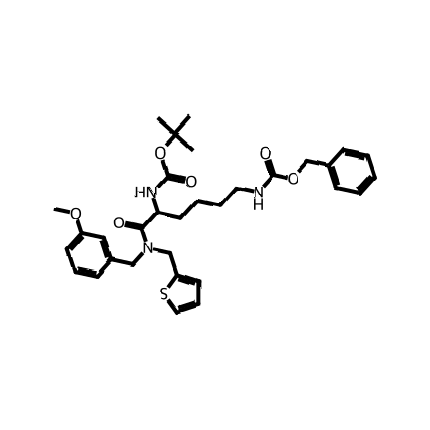 COc1cccc(CN(Cc2cccs2)C(=O)C(CCCCNC(=O)OCc2ccccc2)NC(=O)OC(C)(C)C)c1